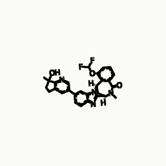 CN1C(=O)c2cccc(OC(F)F)c2[C@H]2C[C@@H]1c1nc3ccc(-c4cnc5c(c4)CCC5(C)O)cc3n12